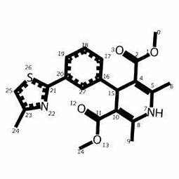 COC(=O)C1=C(C)NC(C)=C(C(=O)OC)C1c1cccc(-c2nc(C)cs2)c1